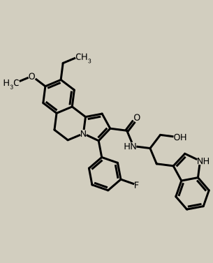 CCc1cc2c(cc1OC)CCn1c-2cc(C(=O)NC(CO)Cc2c[nH]c3ccccc23)c1-c1cccc(F)c1